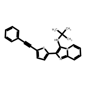 CC(C)(C)Nc1c(-c2ccc(C#Cc3c[c]ccc3)s2)nc2ccccn12